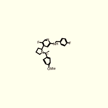 COc1ccc([C@H](C)N2CCCC2c2cc(NCc3ccc(F)cc3)ncc2F)cc1